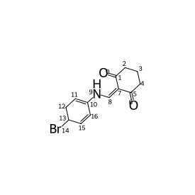 O=C1CCCC(=O)C1=CNC1=CCC(Br)C=C1